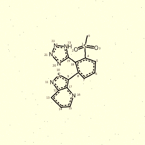 CS(=O)(=O)c1cccc(-c2snc3cccnc23)c1-c1nnn[nH]1